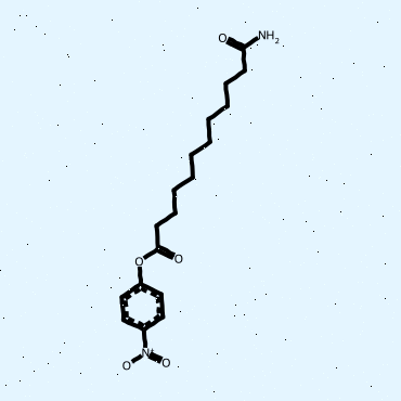 NC(=O)CCCCCCCCCCC(=O)Oc1ccc([N+](=O)[O-])cc1